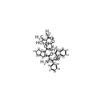 C[C@@H](O)C(NC(=O)[C@H](Cc1c[nH]c2ccccc12)NC(=O)[C@@H]1C2CCCC2CN1C(=O)[C@@H](N)[C@@H](O)c1ccccc1)C(N)=O